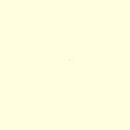 CCCC(=O)OC(=O)CCNC(=O)OC(C)(C)C